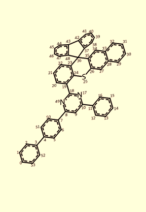 c1ccc(-c2ccc(-c3cc(-c4ccccc4)nc(-c4cccc5c4Sc4cc6ccccc6cc4C54c5ccccc5-c5ccccc54)n3)cc2)cc1